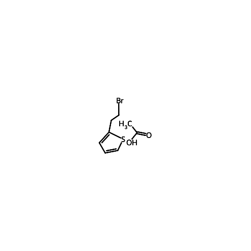 BrCCc1cccs1.CC(=O)O